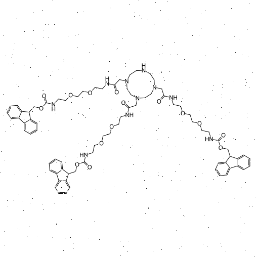 O=C(CN1CCNCCN(CC(=O)NCCOCCOCCNC(=O)OCC2c3ccccc3-c3ccccc32)CCN(CC(=O)NCCOCCOCCNC(=O)OCC2c3ccccc3-c3ccccc32)CC1)NCCOCCOCCNC(=O)OCC1c2ccccc2-c2ccccc21